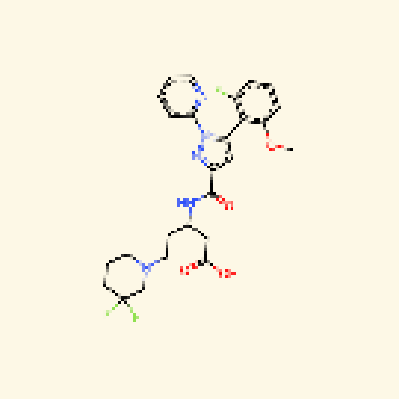 COc1cccc(F)c1-c1cc(C(=O)NC(CCN2CCCC(F)(F)C2)CC(=O)O)nn1-c1ccccn1